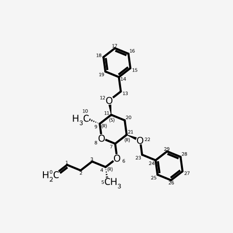 C=CCC[C@@H](C)OC1O[C@H](C)[C@@H](OCc2ccccc2)C[C@H]1OCc1ccccc1